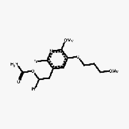 COCCCOc1cc(CC(OC(N)=O)C(C)C)c(Br)nc1OC